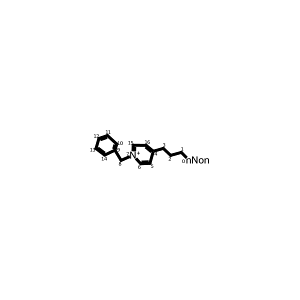 CCCCCCCCCCCCc1cc[n+](Cc2ccccc2)cc1